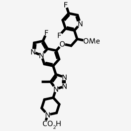 COC(COc1cc(-c2nnn(C3CCN(C(=O)O)CC3)c2C)cn2ncc(F)c12)c1ncc(F)cc1F